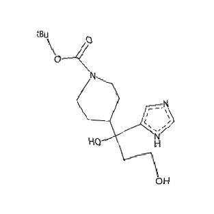 CC(C)(C)OC(=O)N1CCC(C(O)(CCO)c2cnc[nH]2)CC1